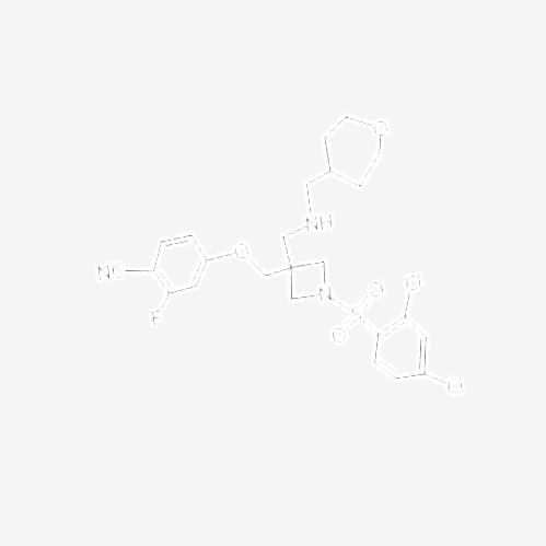 N#Cc1ccc(OCC2(CNCC3CCOCC3)CN(S(=O)(=O)c3ccc(Cl)cc3Cl)C2)cc1F